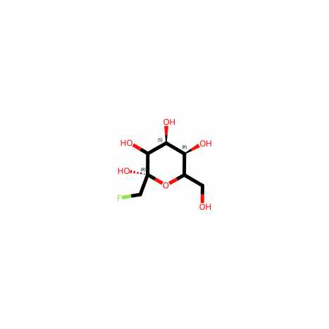 OCC1O[C@@](O)(CF)C(O)[C@@H](O)[C@H]1O